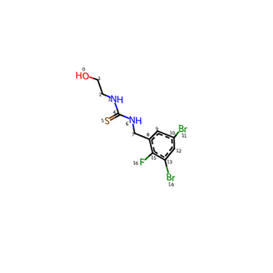 OCCNC(=S)NCc1cc(Br)cc(Br)c1F